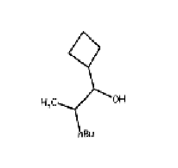 CCCCC(C)C(O)C1CCC1